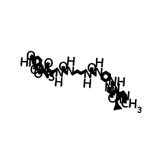 Cn1ncc(-c2nc(N[C@H]3CC[C@H](NCC(=O)NCCCCNCC(=O)NCc4scc5c4C(=O)N(C4CCC(=O)NC4=O)C5=O)CC3)ncc2Cl)c1CC1CC1